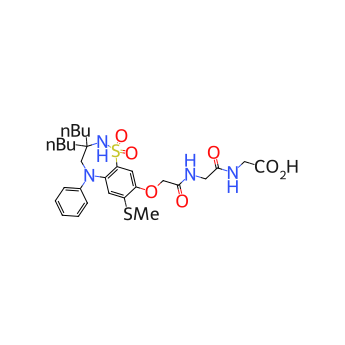 CCCCC1(CCCC)CN(c2ccccc2)c2cc(SC)c(OCC(=O)NCC(=O)NCC(=O)O)cc2S(=O)(=O)N1